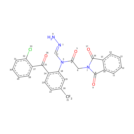 NN=CN(C(=O)CN1C(=O)c2ccccc2C1=O)c1cc(C(F)(F)F)ccc1C(=O)c1ccccc1Cl